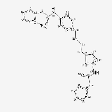 O=C(Cc1ccccc1F)Nc1ccc(CCCCc2nnc(NC(=O)Cc3ccccc3)s2)cn1